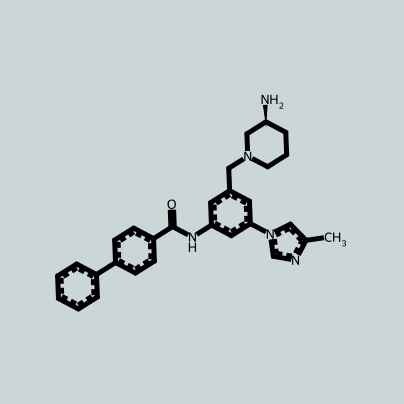 Cc1cn(-c2cc(CN3CCC[C@H](N)C3)cc(NC(=O)c3ccc(-c4ccccc4)cc3)c2)cn1